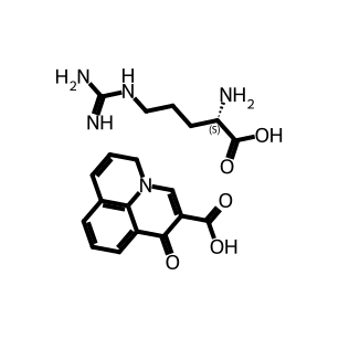 N=C(N)NCCC[C@H](N)C(=O)O.O=C(O)c1cn2c3c(cccc3c1=O)C=CC2